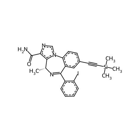 C[C@H]1N=C(c2ccccc2I)c2cc(C#C[Si](C)(C)C)ccc2-n2cnc(C(N)=O)c21